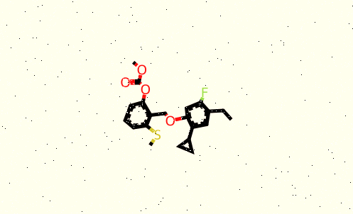 CCc1cc(C2CC2)c(OCc2c(OC(=O)OC)cccc2SC)cc1F